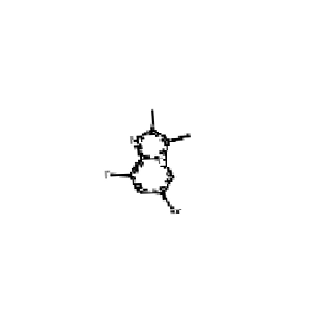 Cc1nc2c(F)cc(Br)cn2c1I